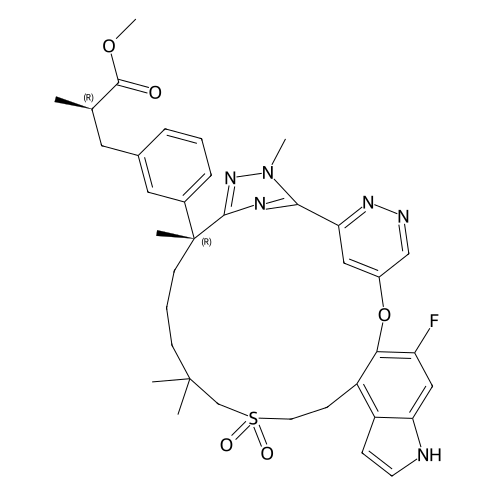 COC(=O)[C@H](C)Cc1cccc([C@@]2(C)CCCC(C)(C)CS(=O)(=O)CCc3c(c(F)cc4[nH]ccc34)Oc3cnnc(c3)-c3nc2nn3C)c1